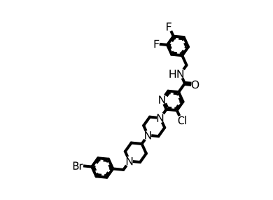 O=C(NCc1ccc(F)c(F)c1)c1cnc(N2CCN(C3CCN(Cc4ccc(Br)cc4)CC3)CC2)c(Cl)c1